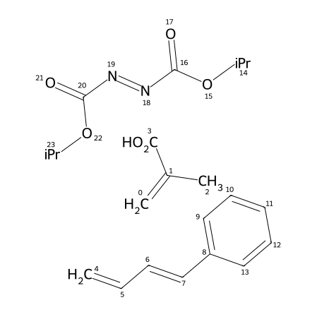 C=C(C)C(=O)O.C=CC=Cc1ccccc1.CC(C)OC(=O)N=NC(=O)OC(C)C